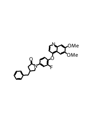 COc1cc2nccc(Oc3ccc(N4CC(Cc5ccccc5)CC4=O)cc3F)c2cc1OC